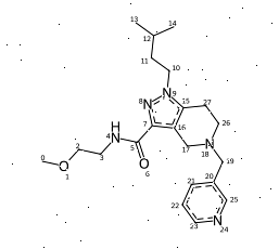 COCCNC(=O)c1nn(CCC(C)C)c2c1CN(Cc1cccnc1)CC2